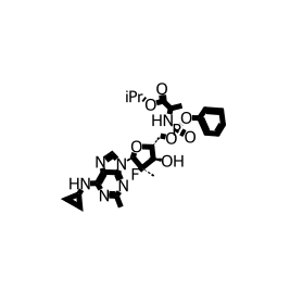 Cc1nc(NC2CC2)c2ncn([C@@H]3O[C@H](COP(=O)(NC(C)C(=O)OC(C)C)Oc4ccccc4)[C@@H](O)[C@@]3(C)F)c2n1